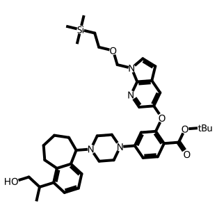 CC(CO)c1cccc2c1CCCCC2N1CCN(c2ccc(C(=O)OC(C)(C)C)c(Oc3cnc4c(ccn4COCC[Si](C)(C)C)c3)c2)CC1